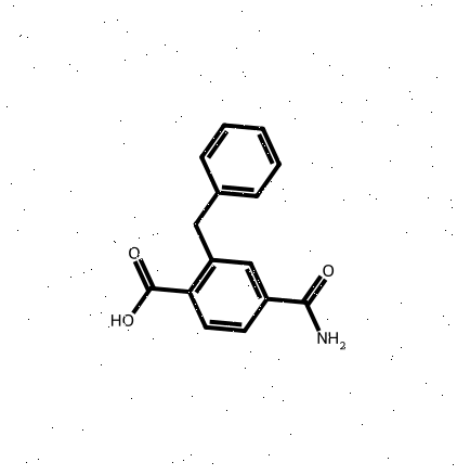 NC(=O)c1ccc(C(=O)O)c(Cc2ccccc2)c1